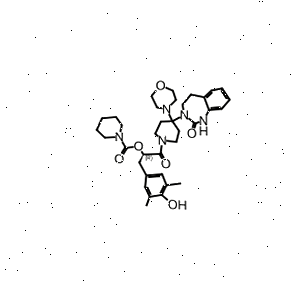 Cc1cc(C[C@@H](OC(=O)N2CCCCC2)C(=O)N2CCC(N3CCOCC3)(N3CCc4ccccc4NC3=O)CC2)cc(C)c1O